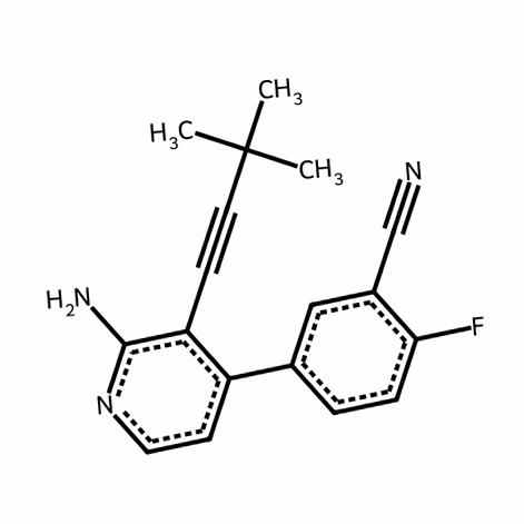 CC(C)(C)C#Cc1c(-c2ccc(F)c(C#N)c2)ccnc1N